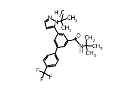 CC(C)(C)NC(=O)c1cc(-c2ccc(C(F)(F)F)cc2)cc(-c2ccnn2C(C)(C)C)c1